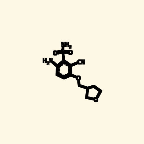 N#Cc1c(OCC2CCOC2)ccc(N)c1S(N)(=O)=O